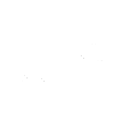 Nc1ncc(C2=CCN(C(=O)O)CC2)c2ccccc12